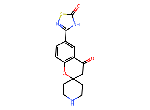 O=C1CC2(CCNCC2)Oc2ccc(-c3nsc(=O)[nH]3)cc21